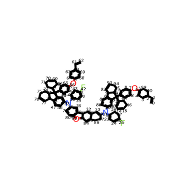 C=CC1=CC=C(Oc2ccc(C3(C4=CC=CCC4)c4cc(N(C5=CC=C(F)CC5)C5=CC6=CC7c8cc(N(c9ccc(F)cc9)c9ccc%10c(c9)C(c9ccc(Oc%11ccc(C=C)cc%11)cc9)(C9CC=CCC9)C9CCC=CC%109)ccc8OC7C=C6CC5)ccc4C4C=CCCC43)cc2)CC1